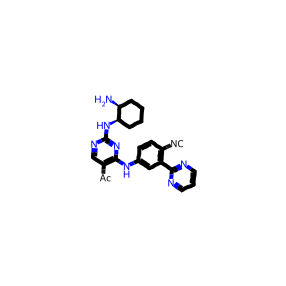 [C-]#[N+]c1ccc(Nc2nc(N[C@@H]3CCCC[C@@H]3N)ncc2C(C)=O)cc1-c1ncccn1